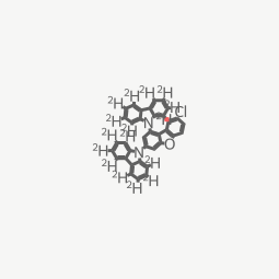 [2H]c1c([2H])c([2H])c2c(c1[2H])c1c([2H])c([2H])c([2H])c([2H])c1n2-c1cc(-n2c3c([2H])c([2H])c([2H])c([2H])c3c3c([2H])c([2H])c([2H])c([2H])c32)c2c(c1)oc1ccc(Cl)cc12